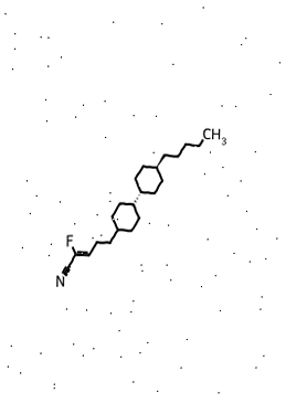 CCCCC[C@H]1CC[C@H](C2CCC(CCC=C(F)C#N)CC2)CC1